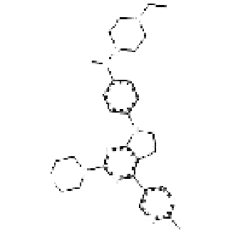 CCN1CCN([S+]([O-])c2ccc(N3CCc4c(-c5cnc(N)nc5)nc(N5CCOCC5)nc43)cc2)CC1